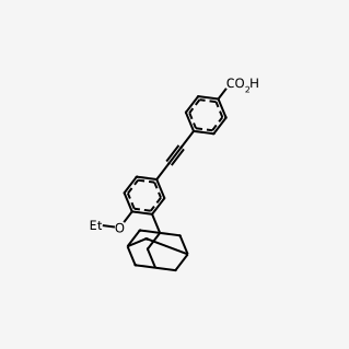 CCOc1ccc(C#Cc2ccc(C(=O)O)cc2)cc1C12CC3CC(CC(C3)C1)C2